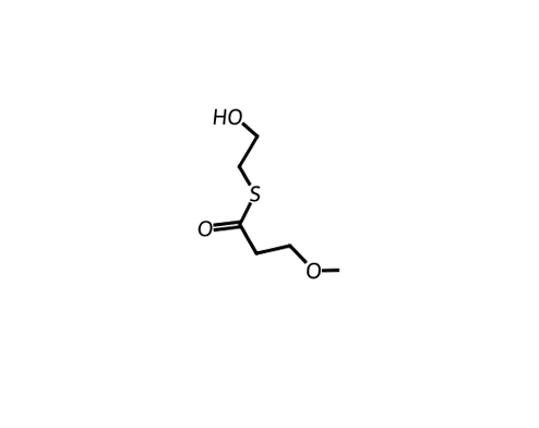 COCCC(=O)SCCO